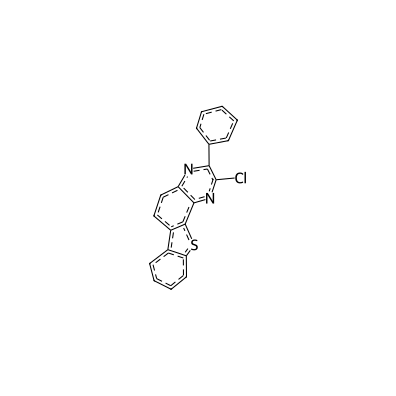 Clc1nc2c(ccc3c4ccccc4sc32)nc1-c1ccccc1